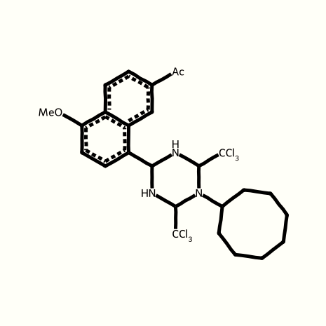 COc1ccc(C2NC(C(Cl)(Cl)Cl)N(C3CCCCCCC3)C(C(Cl)(Cl)Cl)N2)c2cc(C(C)=O)ccc12